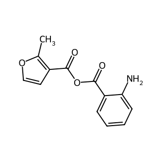 Cc1occc1C(=O)OC(=O)c1ccccc1N